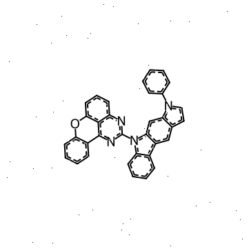 c1ccc(-n2ccc3cc4c5ccccc5n(-c5nc6c7c(cccc7n5)Oc5ccccc5-6)c4cc32)cc1